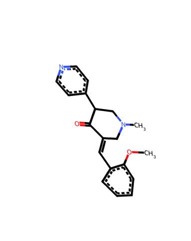 COc1ccccc1C=C1CN(C)CC(c2ccncc2)C1=O